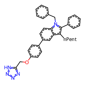 CCCCCc1c(-c2ccccc2)n(Cc2ccccc2)c2ccc(-c3ccc(OCc4nnn[nH]4)cc3)cc12